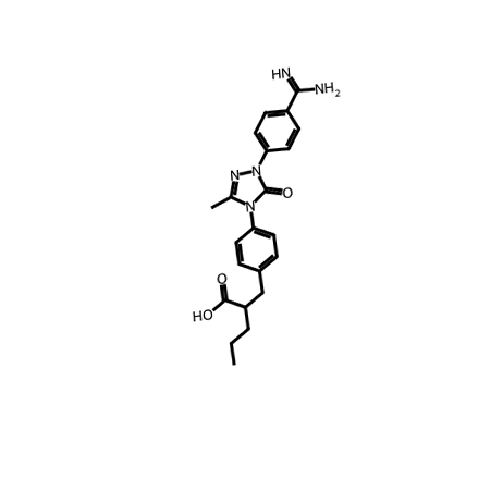 CCCC(Cc1ccc(-n2c(C)nn(-c3ccc(C(=N)N)cc3)c2=O)cc1)C(=O)O